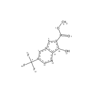 COC(=O)c1sc2cc(C(F)(F)F)cnc2c1O